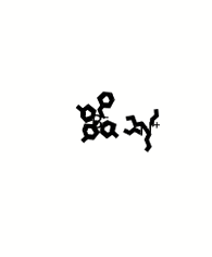 CCCC[N+](CCCC)(CCCC)CCCC.Cc1ccc([B-](CCc2ccccc2)(c2ccc(C)cc2)c2ccc(C)cc2)cc1